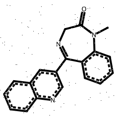 CN1C(=O)CN=C(c2cnc3ccccc3c2)c2ccccc21